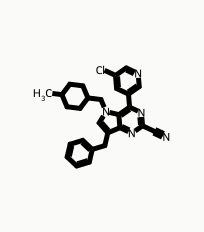 CC1CCC(Cn2cc(Cc3ccccc3)c3nc(C#N)nc(-c4cncc(Cl)c4)c32)CC1